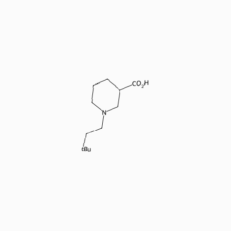 CC(C)(C)CCN1CCCC(C(=O)O)C1